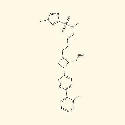 COC[C@@H]1[C@H](c2ccc(-c3ccccc3C)cc2)CN1CCCCN(C)S(=O)(=O)c1cn(C)cn1